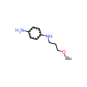 CCC(C)OCCCNc1ccc(N)cc1